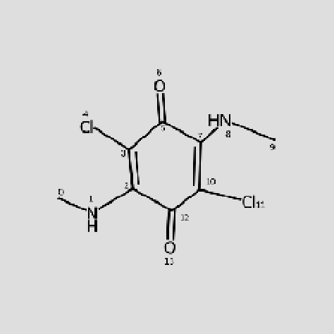 CNC1=C(Cl)C(=O)C(NC)=C(Cl)C1=O